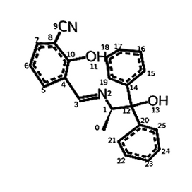 C[C@@H](N=Cc1cccc(C#N)c1O)C(O)(c1ccccc1)c1ccccc1